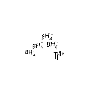 [BH4-].[BH4-].[BH4-].[BH4-].[Ti+4]